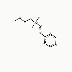 C[Si](C)(C=Cc1ccccc1)CCCF